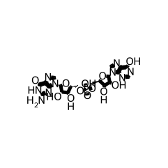 Nc1nc2c(ncn2[C@@H]2O[C@H](COP(=O)(O)OC[C@H]3O[C@@H](n4cnc5c(O)ncnc54)C(O)C3O)C(O)C2O)c(=O)[nH]1